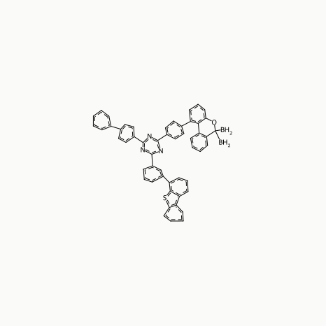 BC1(B)Oc2cccc(-c3ccc(-c4nc(-c5ccc(-c6ccccc6)cc5)nc(-c5cccc(-c6cccc7c6sc6ccccc67)c5)n4)cc3)c2-c2ccccc21